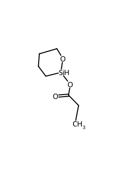 CCC(=O)O[SiH]1CCCCO1